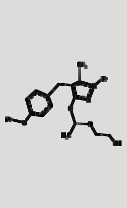 Cc1c(Cc2ccc(OC(C)C)cc2)c(OC(C)OCCO)nn1C(C)C